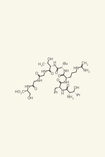 C=C(N)NCCC[C@@H](NC(=O)[C@H](CC(C)C)NC(=O)[C@@H](N)[C@H](O)C(C)C)C(=O)N[C@H](C(=O)N[C@H](C(=O)NCC(=O)NCC(=O)N[C@@H](CO)C(=O)O)[C@H](C)O)[C@@H](C)CC